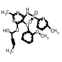 CC#CC(O)Oc1nc(C)nc(NS(=O)(=O)c2ccc(C)cn2)c1Oc1ccccc1OC